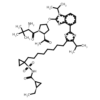 CC[C@@H]1C[C@@H]1C(=O)NS(=O)(=O)C1(CCCCCCCCc2sc(-c3cccc4c3nc(O[C@@H]3C[C@@H](C(N)=O)N(C(=O)[C@@H](N)C(C)(C)C)C3)n4C(C)C)nc2C(C)C)CC1